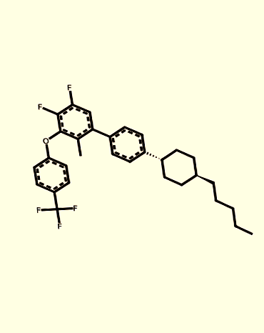 CCCCC[C@H]1CC[C@H](c2ccc(-c3cc(F)c(F)c(Oc4ccc(C(F)(F)F)cc4)c3C)cc2)CC1